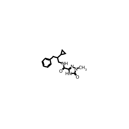 Cn1nc(C(=O)NCC(Cc2ccccc2)C2CC2)[nH]c1=O